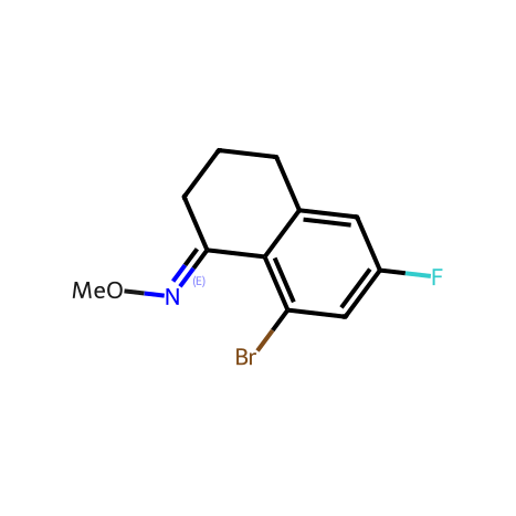 CO/N=C1\CCCc2cc(F)cc(Br)c21